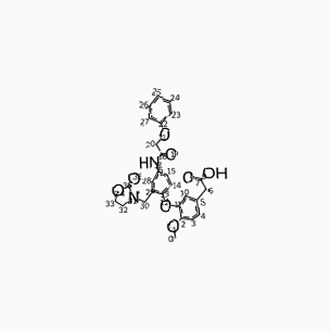 COc1ccc(CC(=O)O)cc1Oc1ccc(NC(=O)COc2ccccc2)cc1CN1CCOC1=O